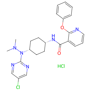 CN(C)N(c1ncc(Cl)cn1)[C@H]1CC[C@@H](NC(=O)c2cccnc2Oc2ccccc2)CC1.Cl